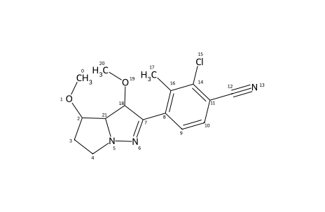 COC1CCN2N=C(c3ccc(C#N)c(Cl)c3C)C(OC)C12